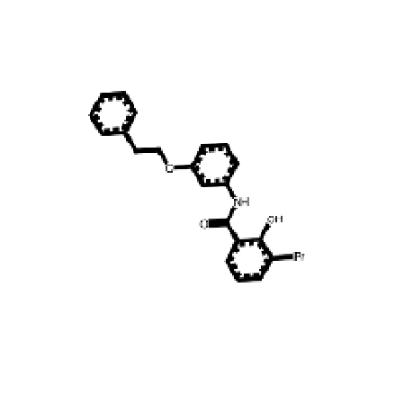 CC(C)c1cccc(C(=O)Nc2cccc(OCCc3ccccc3)c2)c1O